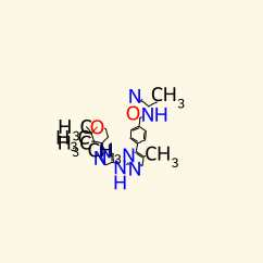 CCC(C#N)NC(=O)c1ccc(-c2nc(Nc3cnn(C4CCOC(C)(C)C4(C)C)c3)ncc2C)cc1